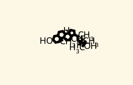 C[C@H](CC(F)(F)C(C)(C)O)C1CC[C@H]2C3CCC4CC(O)CCC4(C)C3CCC12C